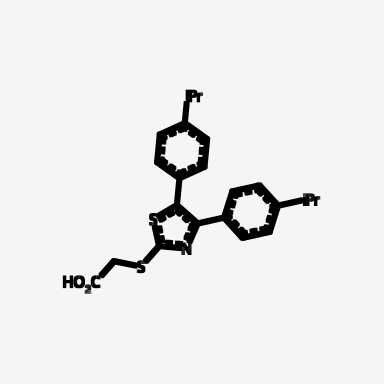 CC(C)c1ccc(-c2nc(SCC(=O)O)sc2-c2ccc(C(C)C)cc2)cc1